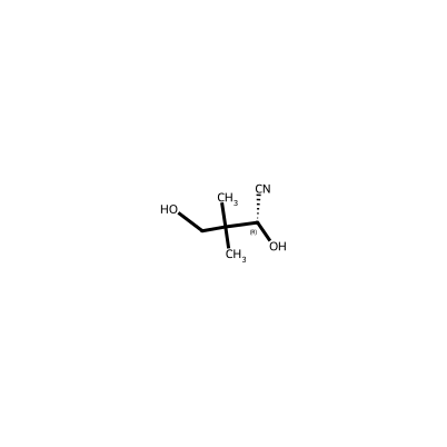 CC(C)(CO)[C@@H](O)C#N